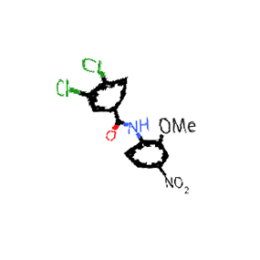 COc1cc([N+](=O)[O-])ccc1NC(=O)c1ccc(Cl)c(Cl)c1